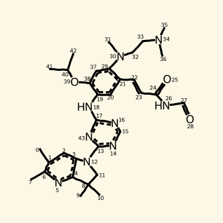 Cc1cc2c(nc1C)C(C)(C)CN2c1ncnc(Nc2cc(C=CC(=O)NC=O)c(N(C)CCN(C)C)cc2OC(C)C)n1